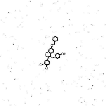 Oc1ccc(CC2c3ccc(OCc4ccccc4)cc3CCN2c2ccc(Cl)c(Cl)c2)cc1